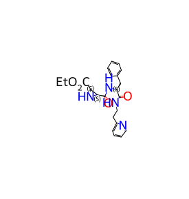 CCOC(=O)[C@H]1N[C@@H]1C(=O)N[C@@H](Cc1ccccc1)C(=O)NCCc1ccccn1